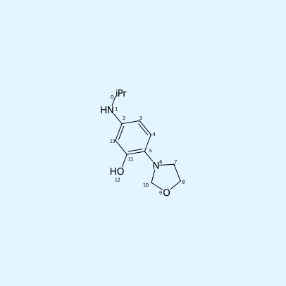 CC(C)Nc1ccc(N2CCOC2)c(O)c1